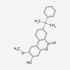 COc1cc2c(cc1O)oc(=O)c1cc(C(C)(C)c3ccccc3)ccc12